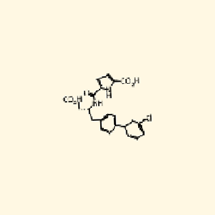 O=C(O)C[C@@H](Cc1ccc(C2C=CC=C(Cl)C2)cc1)NC(=O)c1ccc(C(=O)O)[nH]1